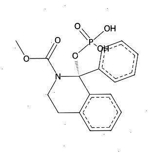 COC(=O)N1CCc2ccccc2[C@]1(OP(=O)(O)O)c1ccccc1